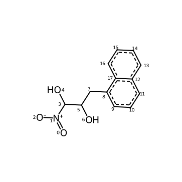 O=[N+]([O-])C(O)C(O)Cc1cccc2ccccc12